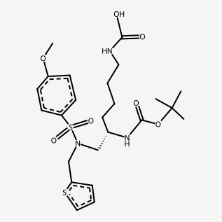 COc1ccc(S(=O)(=O)N(Cc2cccs2)C[C@H](CCCCNC(=O)O)NC(=O)OC(C)(C)C)cc1